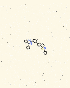 c1ccc(-c2nc3ccc4cc(-c5cccc(-c6nc(-c7ccccc7)c7ccccc7n6)c5)ccc4c3s2)cc1